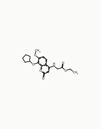 CCOC(=O)CNc1cc(=O)oc2c(OC3CCCC3)c(OC)ccc12